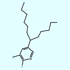 CCCCCCC(CCCCC)c1cnc(I)c(I)c1